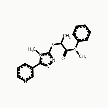 CC(Sc1nnc(-c2cccnc2)n1C)C(=O)N(C)c1ccccc1